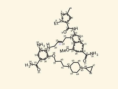 CCn1nc(C)cc1C(=O)Nc1nc2cc(C(N)=O)cc(OC)c2n1C/C=C/CNc1c(N)cc(C(N)=O)cc1OCCCN1CCN(C2CC2)CC1